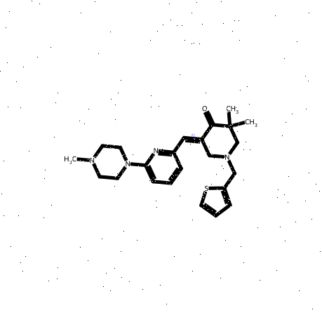 CN1CCN(c2cccc(/C=C3\CN(Cc4cccs4)CC(C)(C)C3=O)n2)CC1